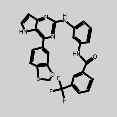 O=C(Nc1cccc(Nc2nc(-c3ccc4c(c3)OCO4)c3[nH]ccc3n2)c1)c1cccc(C(F)(F)F)c1